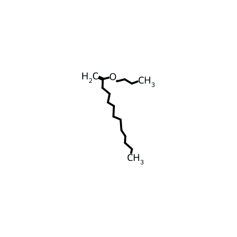 C=C(CCCCCCCCCCC)OCCCC